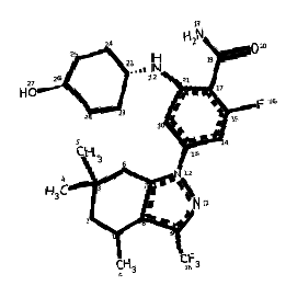 CC1CC(C)(C)Cc2c1c(C(F)(F)F)nn2-c1cc(F)c(C(N)=O)c(N[C@H]2CC[C@H](O)CC2)c1